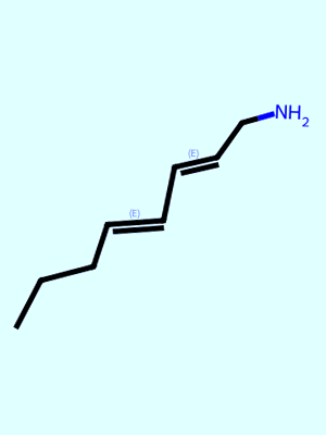 CCC/C=C/C=C/CN